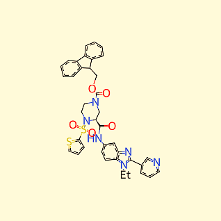 CCn1c(-c2cccnc2)nc2cc(NC(=O)[C@@H]3CN(C(=O)OCC4c5ccccc5-c5ccccc54)CCN3S(=O)(=O)c3cccs3)ccc21